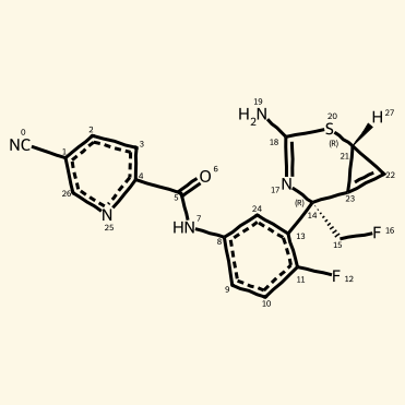 N#Cc1ccc(C(=O)Nc2ccc(F)c([C@@]3(CF)N=C(N)S[C@@H]4C=C43)c2)nc1